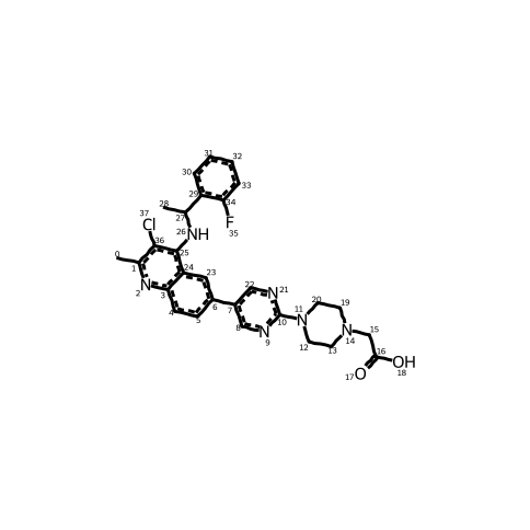 Cc1nc2ccc(-c3cnc(N4CCN(CC(=O)O)CC4)nc3)cc2c(NC(C)c2ccccc2F)c1Cl